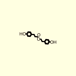 O=C(CCc1ccc(O)cc1)OCCc1ccc(O)cc1